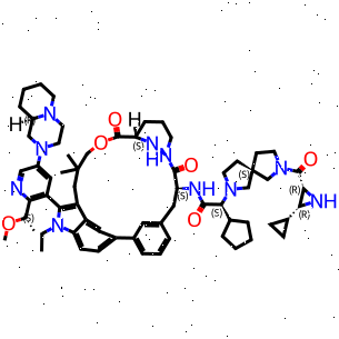 CCn1c(-c2cc(N3CCN4CCCC[C@@H]4C3)cnc2[C@H](C)OC)c2c3cc(ccc31)-c1cccc(c1)C[C@H](NC(=O)[C@H](C1CCCC1)N1CC[C@]3(CCN(C(=O)[C@@H]4N[C@@H]4C4CC4)C3)C1)C(=O)N1CCC[C@H](N1)C(=O)OCC(C)(C)C2